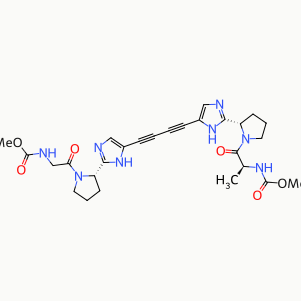 COC(=O)NCC(=O)N1CCC[C@H]1c1ncc(C#CC#Cc2cnc([C@@H]3CCCN3C(=O)[C@H](C)NC(=O)OC)[nH]2)[nH]1